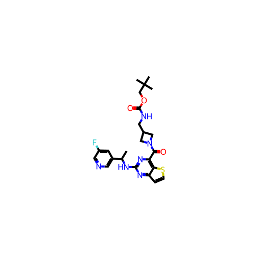 CC(Nc1nc(C(=O)N2CC(CNC(=O)OCC(C)(C)C)C2)c2sccc2n1)c1cncc(F)c1